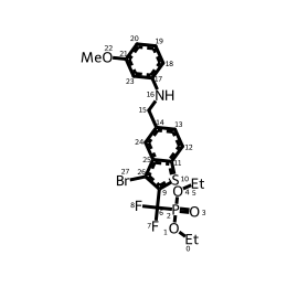 CCOP(=O)(OCC)C(F)(F)c1sc2ccc(CNc3cccc(OC)c3)cc2c1Br